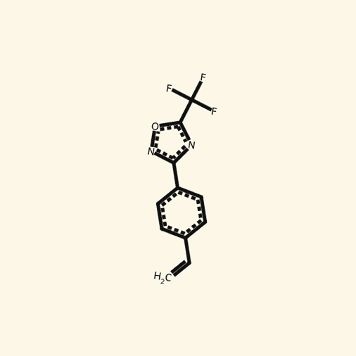 C=Cc1ccc(-c2noc(C(F)(F)F)n2)cc1